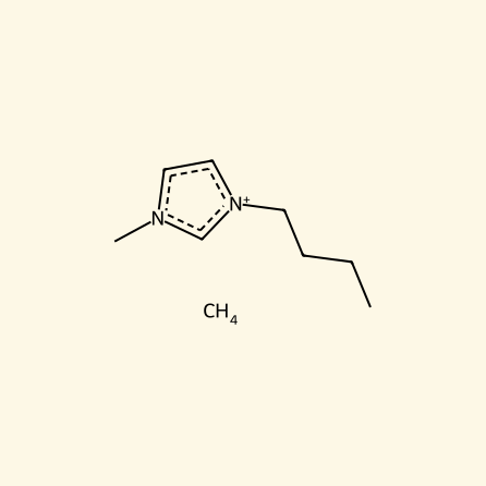 C.CCCC[n+]1ccn(C)c1